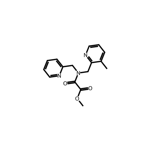 COC(=O)C(=O)N(Cc1ccccn1)Cc1ncccc1C